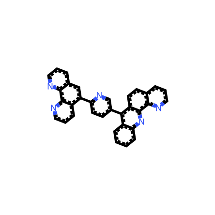 c1cnc2c(c1)cc(-c1ccc(-c3c4ccccc4nc4c3ccc3cccnc34)cn1)c1cccnc12